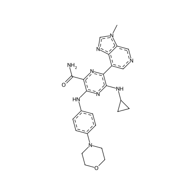 Cn1cnc2c(-c3nc(C(N)=O)c(Nc4ccc(N5CCOCC5)cc4)nc3NC3CC3)cncc21